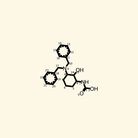 O=C(O)NC1CCCC(N(Cc2ccccc2)Cc2ccccc2)C1O